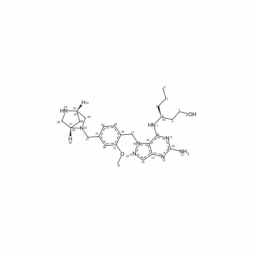 CCC[C@@H](CCO)Nc1nc(N)nc2cnn(Cc3ccc(CN4C[C@@H]5C[C@H]4CN5)cc3OC)c12